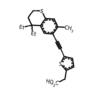 CCC1(CC)CCSc2cc(C)c(C#Cc3ccc(CC(=O)O)s3)cc21